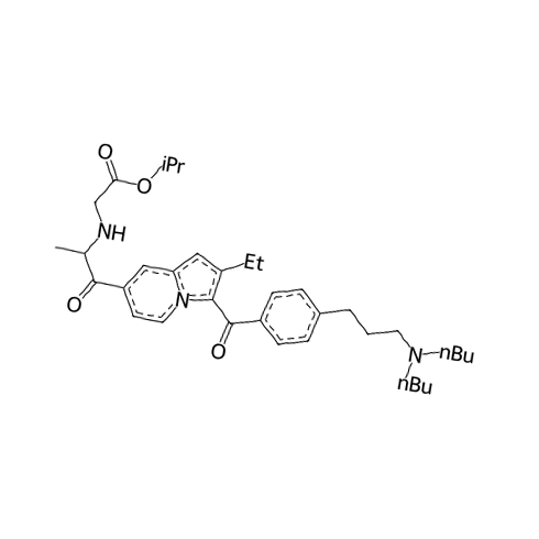 CCCCN(CCCC)CCCc1ccc(C(=O)c2c(CC)cc3cc(C(=O)C(C)NCC(=O)OC(C)C)ccn23)cc1